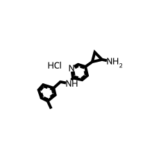 Cc1cccc(CNc2ccc(C3CC3N)cn2)c1.Cl